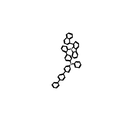 c1ccc(-c2ccc(-c3ccc(N(c4ccccc4)c4ccc(-c5ccccc5-n5c6ccccc6c6cccc(-c7cccc8ccccc78)c65)cc4)cc3)cc2)cc1